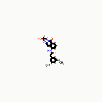 COc1cc(CC(=O)Nc2cccc3c(=O)n(CC(C)(C)O)ccc23)cc(OC)c1